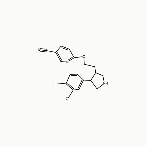 N#Cc1ccc(OCCC2CNCC2c2ccc(Cl)c(Cl)c2)nc1